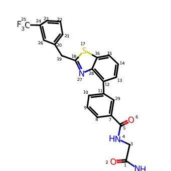 NC(=O)CNC(=O)c1cccc(-c2cccc3sc(Cc4cccc(C(F)(F)F)c4)nc23)c1